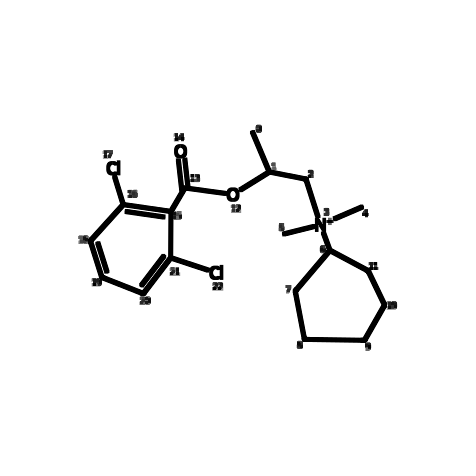 CC(C[N+](C)(C)C1CCCCC1)OC(=O)c1c(Cl)cccc1Cl